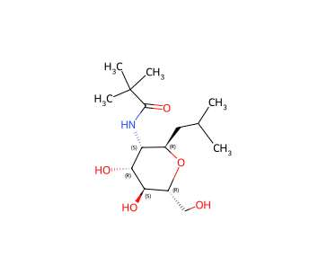 CC(C)C[C@H]1O[C@H](CO)[C@@H](O)[C@H](O)[C@@H]1NC(=O)C(C)(C)C